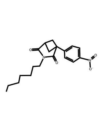 CCCCCCCN1C(=O)C2CC(c3ccc([N+](=O)[O-])cc3)(C2)C1=O